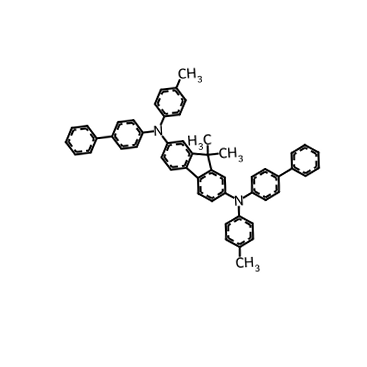 Cc1ccc(N(c2ccc(-c3ccccc3)cc2)c2ccc3c(c2)C(C)(C)c2cc(N(c4ccc(C)cc4)c4ccc(-c5ccccc5)cc4)ccc2-3)cc1